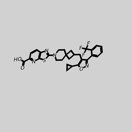 O=C(O)c1ccc2nc(N3CCC4(CC3)CC(Cc3c(-c5ccccc5C(F)(F)F)noc3C3CC3)C4)sc2n1